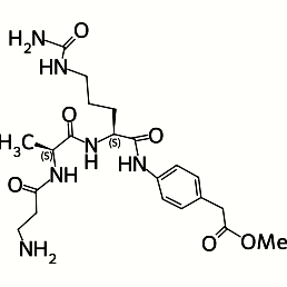 COC(=O)Cc1ccc(NC(=O)[C@H](CCCNC(N)=O)NC(=O)[C@H](C)NC(=O)CCN)cc1